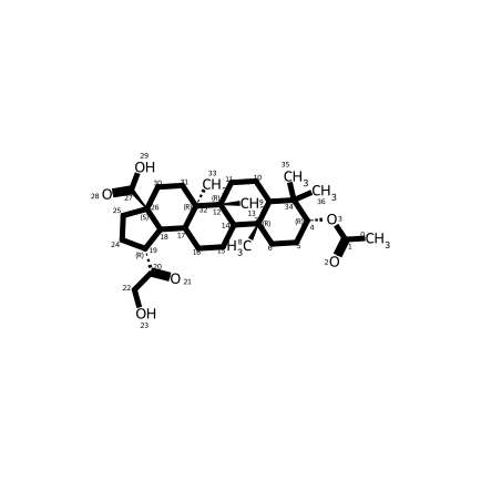 CC(=O)O[C@@H]1CC[C@@]2(C)C(CC[C@]3(C)C2CCC2C4[C@H](C(=O)CO)CC[C@]4(C(=O)O)CC[C@]23C)C1(C)C